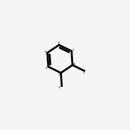 CC1C=CC=CC1C